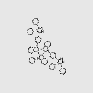 c1ccc(-c2nnc(-c3ccc(-n4c5ccccc5c5c6c(c7ccccc7n6-c6ccccc6)c6c(c7ccccc7n6-c6ccc(-c7nnc(-c8ccccc8)n7-c7ccccc7)cc6)c54)cc3)n2-c2ccccc2)cc1